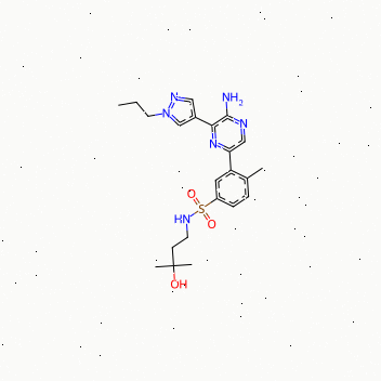 CCCn1cc(-c2nc(-c3cc(S(=O)(=O)NCCC(C)(C)O)ccc3C)cnc2N)cn1